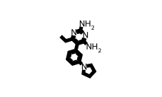 CCc1nc(N)nc(N)c1-c1cccc(N2CCCC2)c1